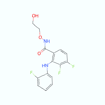 O=C(NOCCO)c1ccc(F)c(F)c1Nc1ccccc1F